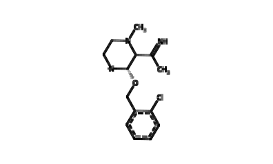 CC(=N)C1[C@H](OCc2ccccc2Cl)[N]CCN1C